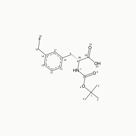 CC(C)(C)OC(=O)N[C@H](Cc1cccc(CF)c1)C(=O)O